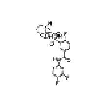 O=C(Nc1ccc(F)c(F)c1)c1ccc(F)c(S(=O)(=O)[C@@H]2CC3CC[C@@H](C2)[C@@]3(O)CO)c1